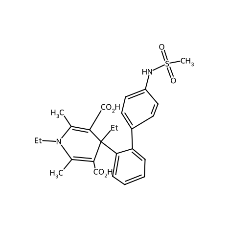 CCN1C(C)=C(C(=O)O)C(CC)(c2ccccc2-c2ccc(NS(C)(=O)=O)cc2)C(C(=O)O)=C1C